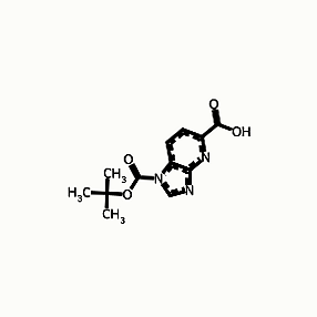 CC(C)(C)OC(=O)n1cnc2nc(C(=O)O)ccc21